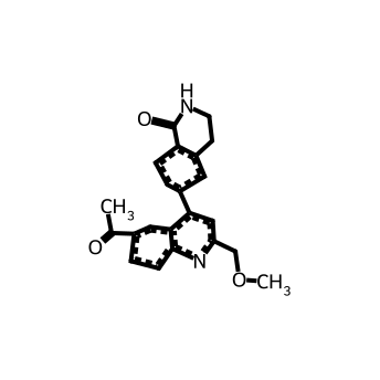 COCc1cc(-c2ccc3c(c2)CCNC3=O)c2cc(C(C)=O)ccc2n1